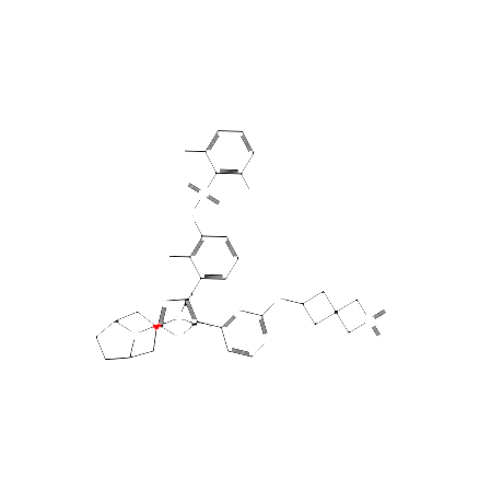 CN(C)C1CC2CCC(C1)N2c1nc(-c2cccc(NS(=O)(=O)c3c(F)cccc3F)c2F)c(-c2ccnc(NC3CC4(C3)CS(=O)(=O)C4)n2)s1